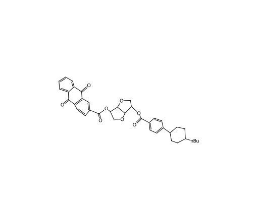 CCCCC1CCC(c2ccc(C(=O)OC3COC4C(OC(=O)c5ccc6c(c5)C(=O)c5ccccc5C6=O)COC34)cc2)CC1